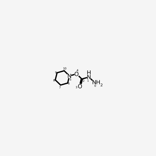 NNC(=O)ON1CCCCC1